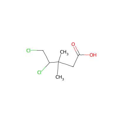 CC(C)(CC(=O)O)C(Cl)CCl